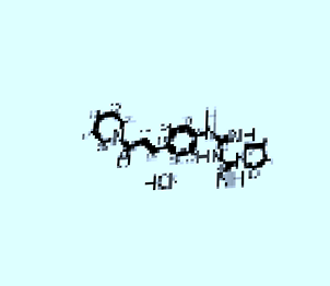 Cl.N=C(NC(=N)N1CCCC1)Nc1ccc(/C=C/C(=O)N2CCCCC2)cc1